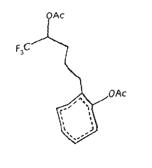 CC(=O)Oc1ccccc1CCCC(OC(C)=O)C(F)(F)F